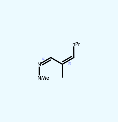 CCC/C=C(C)\C=N/NC